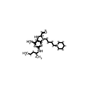 CCC[C@H](C)Nc1nc(N)c2c(n1)N(CCCCN1CCCCC1)C(C=O)N2